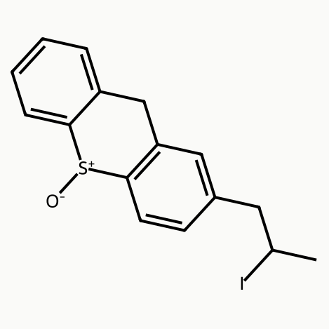 CC(I)Cc1ccc2c(c1)Cc1ccccc1[S+]2[O-]